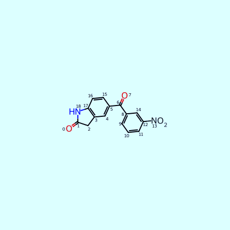 O=C1Cc2cc(C(=O)c3cccc([N+](=O)[O-])c3)ccc2N1